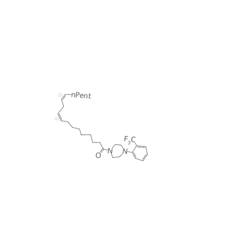 CCCCC/C=C\C/C=C\CCCCCCCC(=O)N1CCN(c2ccccc2C(F)(F)F)CC1